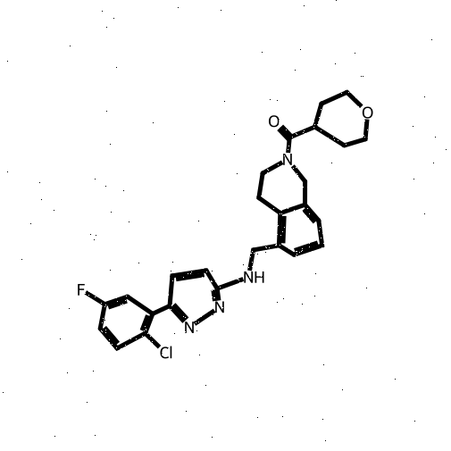 O=C(C1CCOCC1)N1CCc2c(CNc3ccc(-c4cc(F)ccc4Cl)nn3)cccc2C1